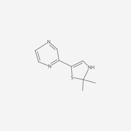 CC1(C)NC=C(c2cnccn2)S1